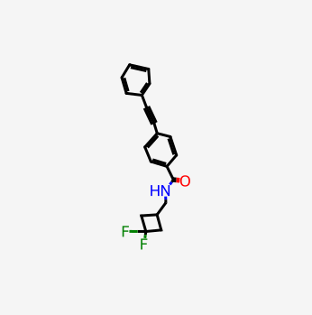 O=C(NCC1CC(F)(F)C1)c1ccc(C#Cc2ccccc2)cc1